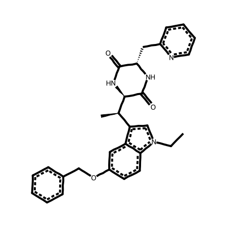 CCn1cc([C@@H](C)[C@H]2NC(=O)[C@H](Cc3ccccn3)NC2=O)c2cc(OCc3ccccc3)ccc21